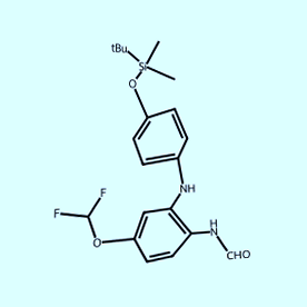 CC(C)(C)[Si](C)(C)Oc1ccc(Nc2cc(OC(F)F)ccc2NC=O)cc1